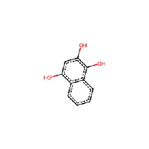 Oc1cc(O)c2ccccc2c1O